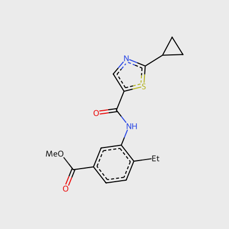 CCc1ccc(C(=O)OC)cc1NC(=O)c1cnc(C2CC2)s1